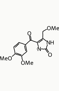 COCC1=C(C(=O)c2ccc(OC)c(OC)c2)[N]C(=O)N1